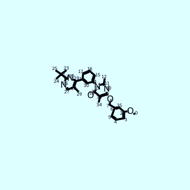 COc1cccc(COc2nc(C)n(-c3cccc(-c4nc(C(C)(C)C)ncc4C)c3)c(=O)c2C)c1